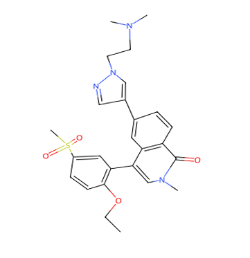 CCOc1ccc(S(C)(=O)=O)cc1-c1cn(C)c(=O)c2ccc(-c3cnn(CCN(C)C)c3)cc12